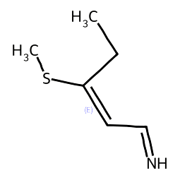 CC/C(=C\C=N)SC